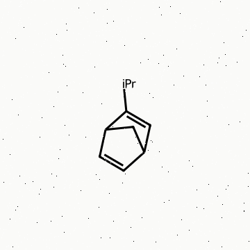 CC(C)C1=CC2C=CC1C2